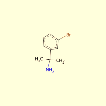 [CH2]C(C)(N)c1cccc(Br)c1